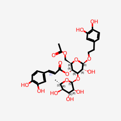 CC(=O)OC[C@H]1O[C@@H](OCCc2ccc(O)c(O)c2)[C@H](O)[C@@H](O[C@@H]2O[C@@H](C)[C@H](O)[C@@H](O)[C@H]2O)[C@@H]1OC(=O)/C=C/c1ccc(O)c(O)c1